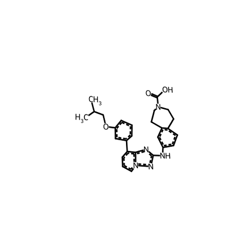 CC(C)COc1cccc(-c2cccn3nc(Nc4ccc5c(c4)CCN(C(=O)O)CC5)nc23)c1